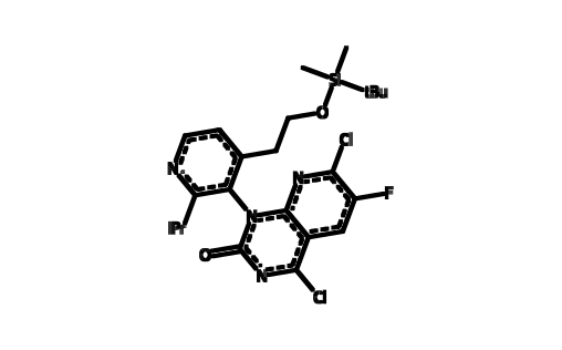 CC(C)c1nccc(CCO[Si](C)(C)C(C)(C)C)c1-n1c(=O)nc(Cl)c2cc(F)c(Cl)nc21